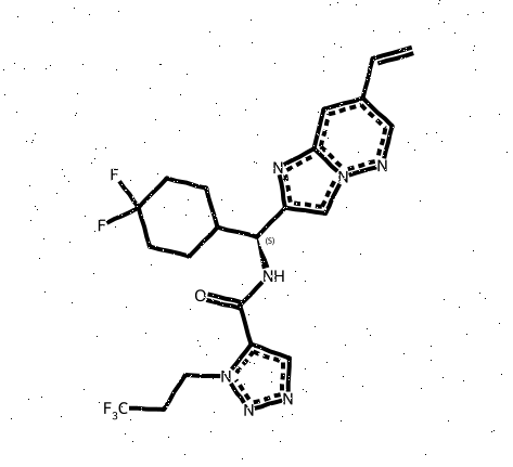 C=Cc1cnn2cc([C@@H](NC(=O)c3cnnn3CCC(F)(F)F)C3CCC(F)(F)CC3)nc2c1